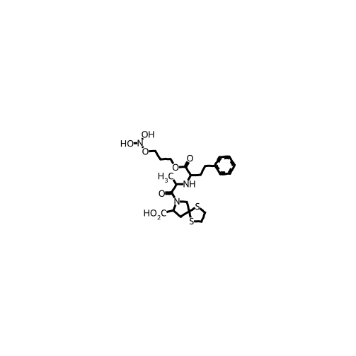 CC(NC(CCc1ccccc1)C(=O)OCCCON(O)O)C(=O)N1CC2(CC1C(=O)O)SCCS2